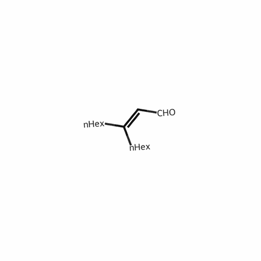 CCCCCCC(=CC=O)CCCCCC